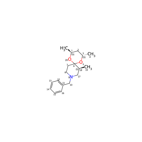 C[C@H]1C[C@H](C)OC2(CCN(Cc3ccccc3)C[C@@H]2C)O1